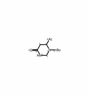 CCCCN1CNC(=O)CC1C(C)=O